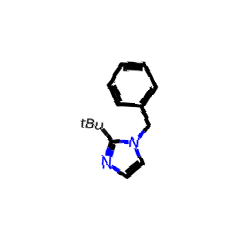 CC(C)(C)c1nccn1Cc1ccccc1